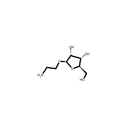 NCCO[C@@H]1O[C@H](CO)[C@@H](O)[C@H]1O